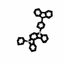 c1ccc(-n2c3ccccc3c3c4c5ccccc5n(-c5ccc(C6c7ccccc7-c7ccccc76)cc5)c4ccc32)cc1